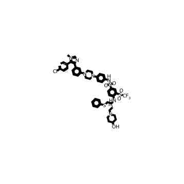 C=C(Cl)/C=C\C(=C/C)c1c(-c2cccc(N3CCN(c4ccc(NS(=O)(=O)c5ccc(N[C@H](CCN6CCC(O)CC6)CSc6ccccc6)c(S(=O)(=O)C(F)(F)F)c5)cc4)CC3)c2)ncn1C